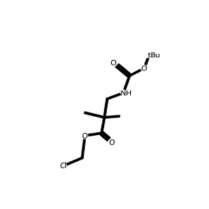 CC(C)(C)OC(=O)NCC(C)(C)C(=O)OCCl